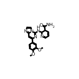 COc1ccc(-c2cc3nccn3c(NC3N=CC=CC3C(N)=O)n2)cc1OC